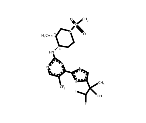 C[C@@H]1CN(S(C)(=O)=O)CC[C@@H]1Nc1ncc(C(F)(F)F)c(-c2ncc(C(C)(O)C(F)F)s2)n1